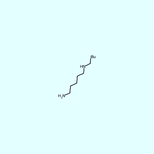 CCC(C)CNCCCCCN